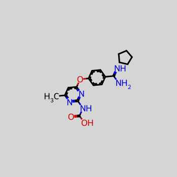 C1CCCC1.Cc1cc(Oc2ccc(C(=N)N)cc2)nc(NC(=O)O)n1